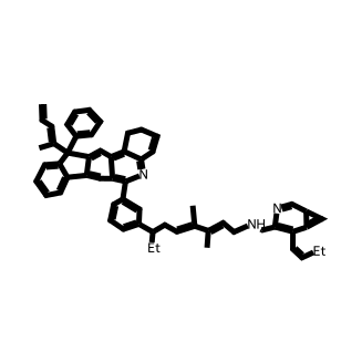 C=C/C=C(\C)C1(c2ccccc2)c2ccccc2-c2cc3c(-c4cccc(C(CC)C/C=C(C)/C(C)=C/CNCC5=C(/C=C\CC)C6=CC6C=N5)c4)nc4c(c3cc21)CCC=C4